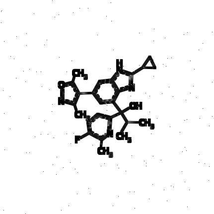 Cc1nc(C(O)(c2cc(-c3c(C)noc3C)cc3[nH]c(C4CC4)nc23)C(C)C)ccc1F